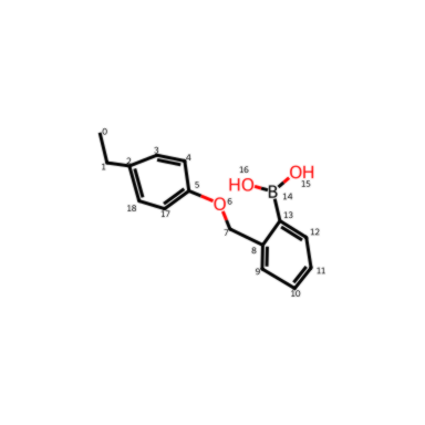 CCc1ccc(OCc2ccccc2B(O)O)cc1